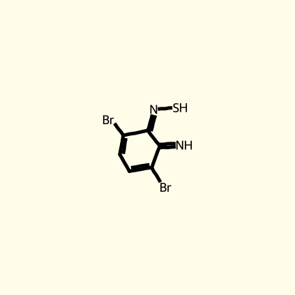 N=C1C(Br)=CC=C(Br)/C1=N/S